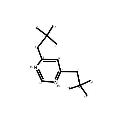 CC(C)(C)Cc1cc(CC(C)(C)C)ncn1